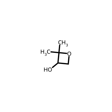 CC1(C)OCC1O